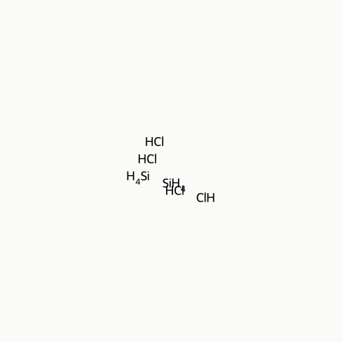 Cl.Cl.Cl.Cl.[SiH4].[SiH4]